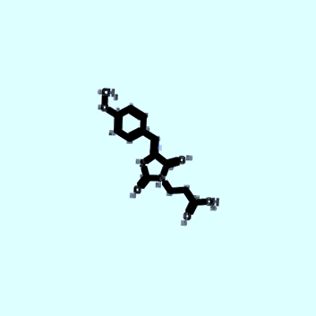 COc1ccc(/C=C2\SC(=O)N(CCC(=O)O)C2=O)cc1